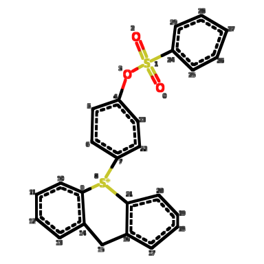 O=S(=O)(Oc1ccc([S+]2c3ccccc3Cc3ccccc32)cc1)c1ccccc1